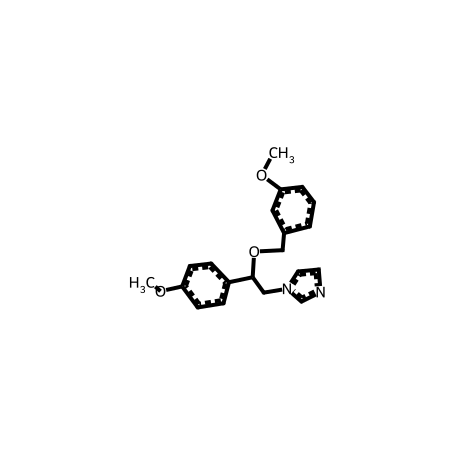 COc1ccc(C(Cn2ccnc2)OCc2cccc(OC)c2)cc1